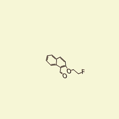 O=Cc1c(OCCF)ccc2ccccc12